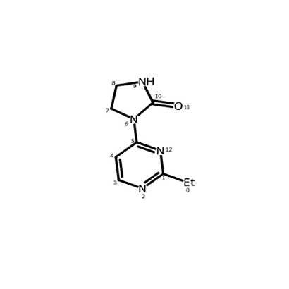 CCc1nccc(N2CCNC2=O)n1